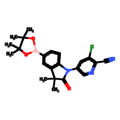 CC1(C)C(=O)N(c2cnc(C#N)c(Cl)c2)c2ccc(B3OC(C)(C)C(C)(C)O3)cc21